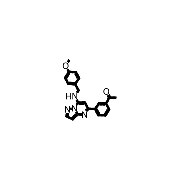 COc1ccc(CNc2cc(-c3cccc(C(C)=O)c3)nc3ccnn23)cc1